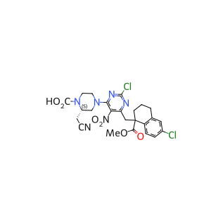 COC(=O)C1(Cc2nc(Cl)nc(N3CCN(C(=O)O)[C@@H](CC#N)C3)c2[N+](=O)[O-])CCCc2cc(Cl)ccc21